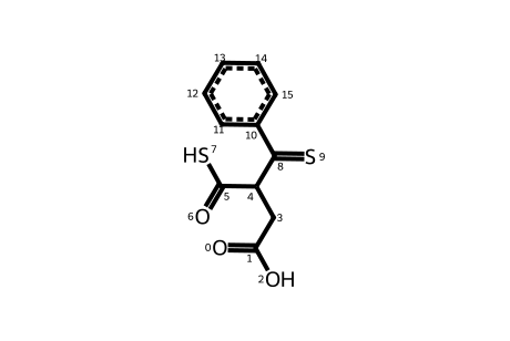 O=C(O)CC(C(=O)S)C(=S)c1ccccc1